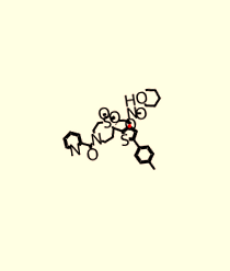 Cc1ccc(-c2ccc([C@@]3(CC(=O)NOC4CCCCO4)CCN(C(=O)c4ccccn4)CCS3(=O)=O)s2)cc1